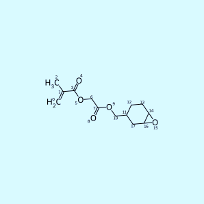 C=C(C)C(=O)OCC(=O)OCC1CCC2OC2C1